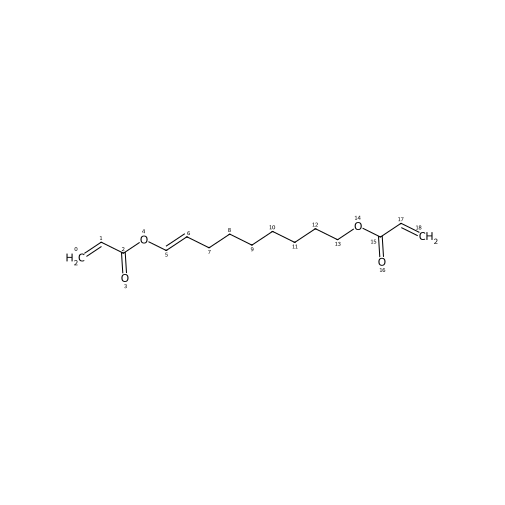 C=CC(=O)OC=CCCCCCCCOC(=O)C=C